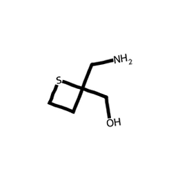 NCC1(CO)CCS1